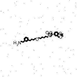 CC1(C)OCc2cc([C@@H]3CN(CCCCCCOCCCCc4cccc(CCN)c4)C(=O)O3)ccc2O1